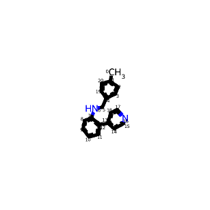 Cc1ccc(CNc2ccccc2-c2ccncc2)cc1